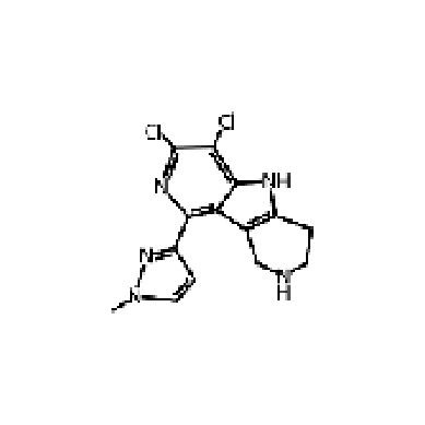 Cn1ccc(-c2nc(Cl)c(Cl)c3[nH]c4c(c23)CNCC4)n1